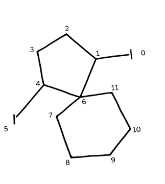 IC1CCC(I)C12CCCCC2